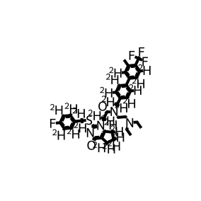 [2H]c1c([2H])c(C([2H])([2H])Sc2nc(=O)c3c(n2C([2H])([2H])C(=O)N(CCN(CC)CC)C([2H])([2H])c2c([2H])c([2H])c(-c4c([2H])c([2H])c(C(F)(F)F)c(C)c4[2H])c([2H])c2[2H])C([2H])([2H])C([2H])([2H])C3([2H])[2H])c([2H])c([2H])c1F